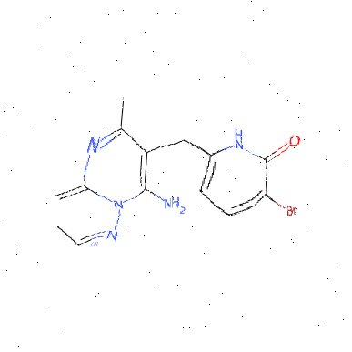 C=C1N=C(C)C(Cc2ccc(Br)c(=O)[nH]2)=C(N)N1/N=C\C